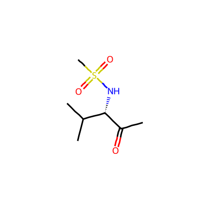 CC(=O)[C@@H](NS(C)(=O)=O)C(C)C